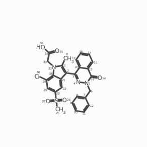 Cc1c(-c2nn(Cc3ccccc3)c(=O)c3ccccc23)c2cc(S(C)(=O)=O)cc(Cl)c2n1CC(=O)O